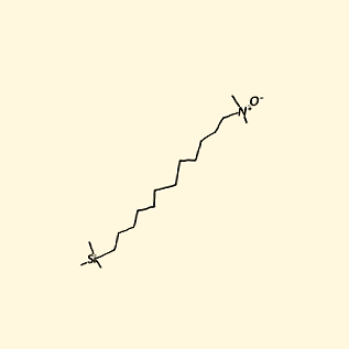 C[N+](C)([O-])CCCCCCCCCCCC[Si](C)(C)C